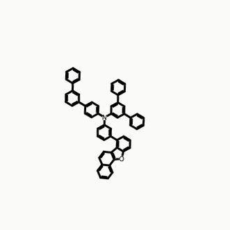 c1ccc(-c2cccc(-c3ccc(N(c4cc(-c5ccccc5)cc(-c5ccccc5)c4)c4cccc(-c5cccc6oc7c8ccccc8ccc7c56)c4)cc3)c2)cc1